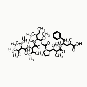 CC[C@H](C)[C@@H]([C@@H](CC(=O)N1CCC[C@H]1[C@H](OC)[C@@H](C)C(=O)N[C@@H](Cc1ccccc1)C[C@H](C)C(=O)O)OC)N(C)C(=O)[C@@H](NC(=O)C(C(C)C)N(C)C)C(C)C